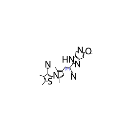 COc1cc2nc(/C(C#N)=C/c3cc(C)n(-c4sc(C)c(C)c4C#N)c3C)[nH]c2cn1